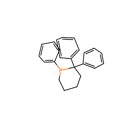 c1ccc(P2CCCCC2(c2ccccc2)c2ccccc2)cc1